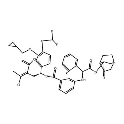 C=C(Cl)/C(C[C@H](OC(=O)c1cccc(NC(C(=O)O[C@H]2CN3CCC2CC3)c2ccccc2F)c1)c1ccc(OC(F)F)c(OCC2CC2)c1)=C(\C)Cl